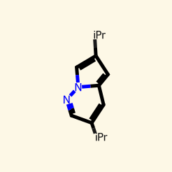 CC(C)c1cnn2cc(C(C)C)cc2c1